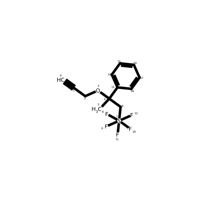 C#CCOC(C)(CS(F)(F)(F)(F)F)c1ccccc1